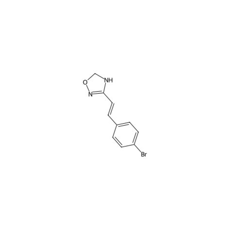 Brc1ccc(C=CC2=NOCN2)cc1